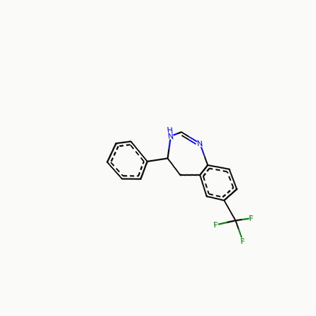 FC(F)(F)c1ccc2c(c1)CC(c1ccccc1)NC=N2